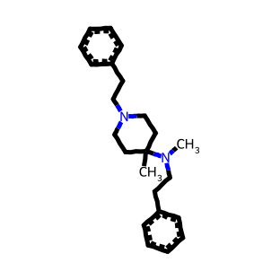 CN(CCc1ccccc1)C1(C)CCN(CCc2ccccc2)CC1